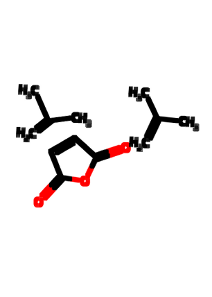 C=C(C)C.C=C(C)C.O=C1C=CC(=O)O1